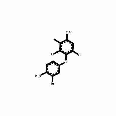 CC(=O)Oc1cc(Cl)c(Oc2ccc(N)c(Br)c2)c(Cl)c1C